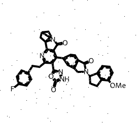 COc1cccc2c1CC[C@H]2N1Cc2cc(-c3c4c(nc(CCc5ccc(F)cc5)c3-c3n[nH]c(=O)o3)C35CC(CN3C4=O)C5)ccc2C1=O